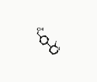 Cc1ncccc1-c1ccc(CO)cc1